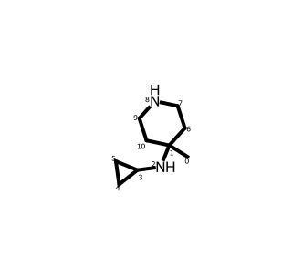 CC1(NC2CC2)CCNCC1